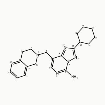 Nc1ncc(CN2CCc3ccccc3C2)c2nc(C3CCCCC3)nn12